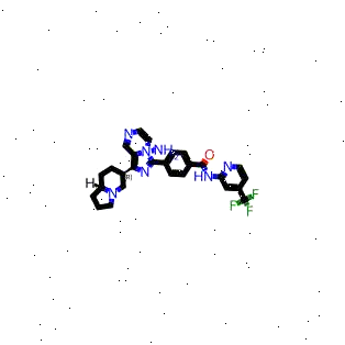 N[N+]12C=CN=CC1=C([C@@H]1CC[C@H]3CCCN3C1)N=C2c1ccc(C(=O)Nc2cc(C(F)(F)F)ccn2)cc1